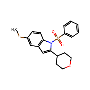 CSc1ccc2c(c1)cc(C1CCOCC1)n2S(=O)(=O)c1ccccc1